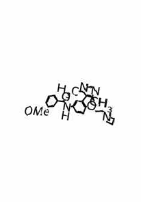 COc1cccc(C(=O)Nc2ccc(OCCN3CCC3)c(-c3c(C)ncnc3C)c2)c1